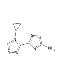 Nc1csc(-c2nncn2C2CC2)n1